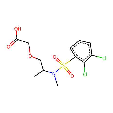 CC(COCC(=O)O)N(C)S(=O)(=O)c1cccc(Cl)c1Cl